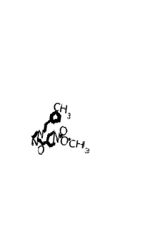 CCOC(=O)N1CCC(C(=O)c2nccn2CCc2cccc(C)c2)CC1